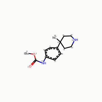 CC(C)(C)OC(=O)Nc1ccc(C2(C#N)CCNCC2)cc1